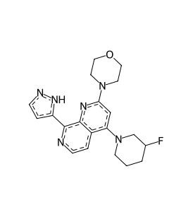 FC1CCCN(c2cc(N3CCOCC3)nc3c(-c4ccn[nH]4)nccc23)C1